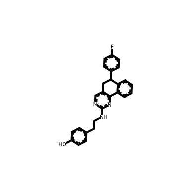 Oc1ccc(CCNc2ncc3c(n2)-c2ccccc2C(c2ccc(F)cc2)C3)cc1